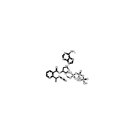 CC(N=[N+]=[N-])c1ncccc1C(=O)OC1C[C@H](n2cnc3c(N)ncnc32)O[C@@H]1COP(=O)(O)OP(=O)(O)OP(=O)(O)O